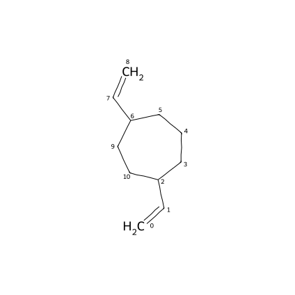 C=CC1CCCC(C=C)CC1